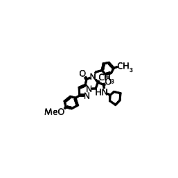 COc1ccc(-c2cc3n(n2)CC(C)(C(=O)NC2CCCCC2)N(Cc2ccc(C)cc2)C3=O)cc1